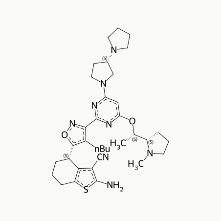 CCCCc1c(-c2nc(O[C@@H](C)[C@@H]3CCCN3C)cc(N3CC[C@H](N4CCCC4)C3)n2)noc1[C@H]1CCCc2sc(N)c(C#N)c21